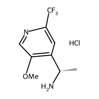 COc1cnc(C(F)(F)F)cc1[C@H](C)N.Cl